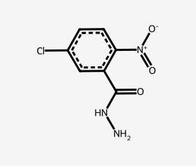 NNC(=O)c1cc(Cl)ccc1[N+](=O)[O-]